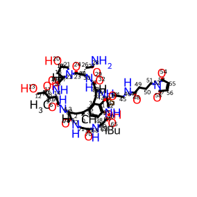 C=C1C[C@@H]2NC(=O)[C@H]([C@@H](C)[C@@H](O)CO)NC(=O)[C@@H]3C[C@@H](O)CN3C(=O)[C@H](CC(N)=O)NC(=O)[C@H](Cc3c1ccc(O)c3CSCCNC(=O)CCCN1C(=O)C=CC1=O)NC(=O)CNC(=O)C([C@@H](C)CC)NC(=O)CNC2=O